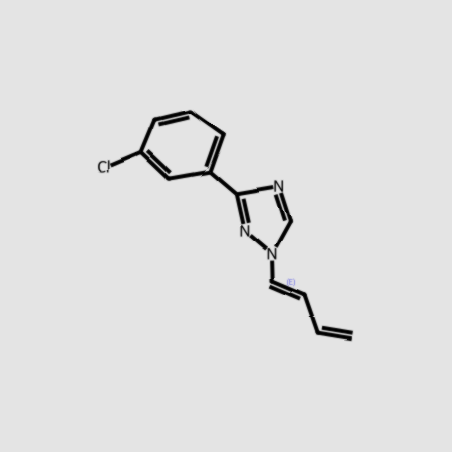 C=C/C=C/n1cnc(-c2cccc(Cl)c2)n1